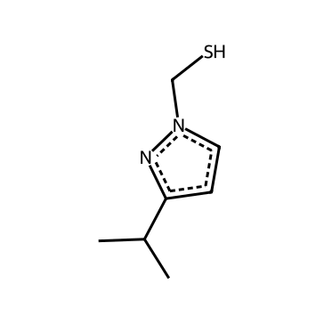 CC(C)c1ccn(CS)n1